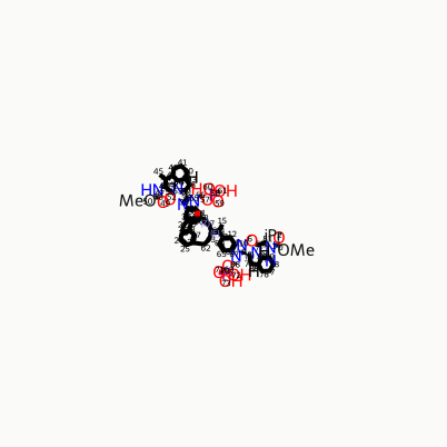 COC(=O)N[C@H](C(=O)N1[C@H](c2nc3cc(/C(C)=C4/C=C\[C@H](C)CCc5ccc(cc5-c5ccc6c(c5)nc([C@@H]5C[C@@H]7CCCC8C(C)[C@H](NC(=O)OC)C(=O)N5[C@@H]87)n6COP(=O)(O)O)CC4)ccc3n2COP(=O)(O)O)C[C@@H]2CCCC[C@@H]21)C(C)C